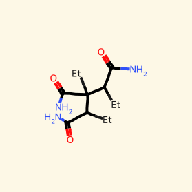 CCC(C(N)=O)C(CC)(C(N)=O)C(CC)C(N)=O